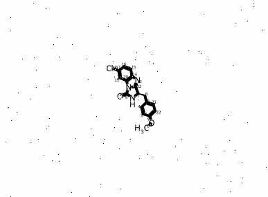 COc1ccc(C[C@H]2NC(=O)n3c2nc2ccc(Cl)cc23)cc1